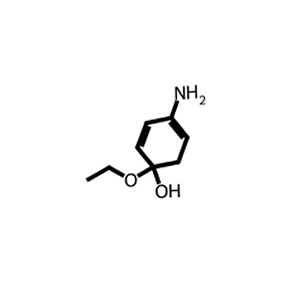 CCOC1(O)C=CC(N)=CC1